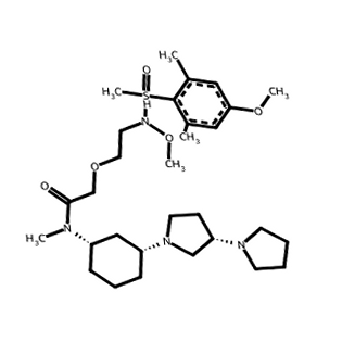 COc1cc(C)c([SH](C)(=O)N(CCOCC(=O)N(C)[C@H]2CCC[C@@H](N3CC[C@H](N4CCCC4)C3)C2)OC)c(C)c1